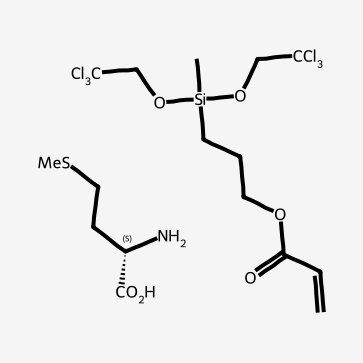 C=CC(=O)OCCC[Si](C)(OCC(Cl)(Cl)Cl)OCC(Cl)(Cl)Cl.CSCC[C@H](N)C(=O)O